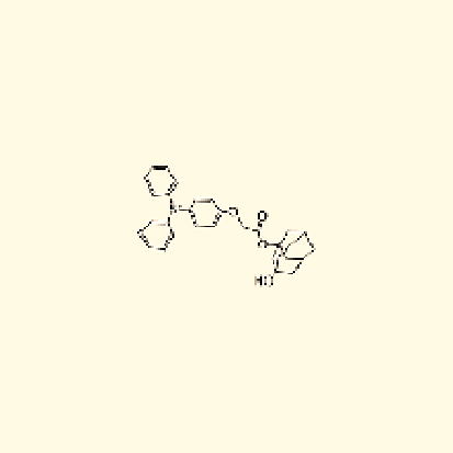 O=C(COc1ccc([S+](c2ccccc2)c2ccccc2)cc1)OC12CC3CC(CC(O)(C3)C1)C2